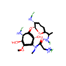 CO[C@H]1[C@@H](O)[C@H](NF)C(O[C@H]2OC(C(C)NF)CC[C@H]2NF)[C@H](O)[C@@H]1N(C)C(=O)CNF